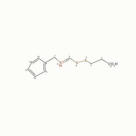 O=C(O)CCSSC=[SH]Cc1ccccc1